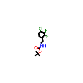 CC(C)(C)OC(=O)NCCc1ccc(Cl)c(F)c1F